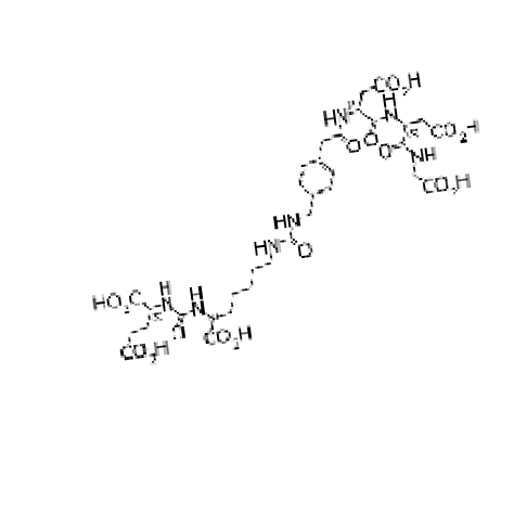 O=C(O)CC[C@H](NC(=O)N[C@@H](CCCCCNC(=O)NCc1ccc(CC(=O)N[C@@H](CC(=O)O)C(=O)N[C@@H](CC(=O)O)C(=O)NCC(=O)O)cc1)C(=O)O)C(=O)O